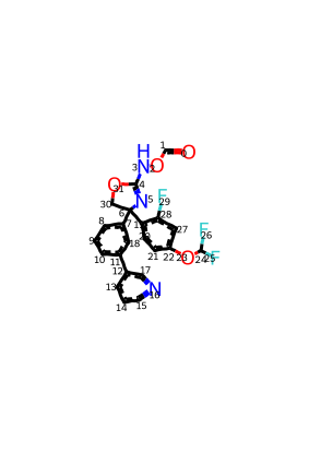 O=CONC1=NC(c2cccc(-c3cccnc3)c2)(c2ccc(OC(F)F)cc2F)CO1